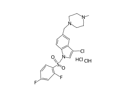 CN1CCN(Cc2ccc3c(c2)c(Cl)cn3S(=O)(=O)c2ccc(F)cc2F)CC1.Cl.Cl